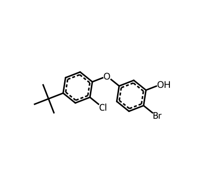 CC(C)(C)c1ccc(Oc2ccc(Br)c(O)c2)c(Cl)c1